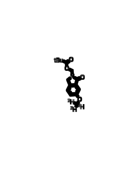 [2H]C([2H])([2H])Oc1ccc2c(c1)C(=O)N(COC(=O)C(C)(C)C)C2